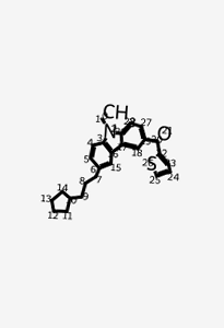 CCn1c2ccc(CCCC3CCCC3)cc2c2cc(C(=O)c3cccs3)ccc21